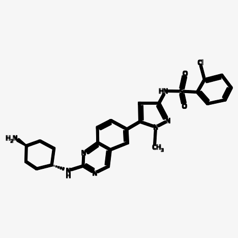 Cn1nc(NS(=O)(=O)c2ccccc2Cl)cc1-c1ccc2nc(N[C@H]3CC[C@H](N)CC3)ncc2c1